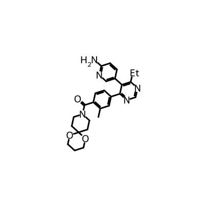 CCc1ncnc(-c2ccc(C(=O)N3CCC4(CC3)OCCCO4)c(C)c2)c1-c1ccc(N)nc1